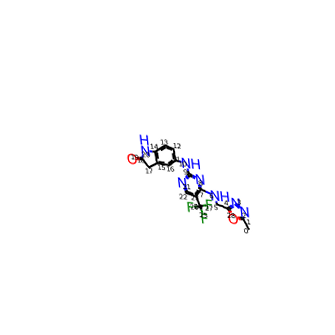 Cc1nnc(CNc2nc(Nc3ccc4c(c3)CC(=O)N4)ncc2C(F)(F)F)o1